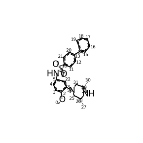 COc1ccc(NS(=O)(=O)c2ccc(-c3ccccc3)cc2)cc1N1C[C@@H](C)N[C@@H](C)C1